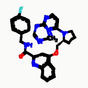 C/N=C\N=c1\nccc(N2CCC[C@@H]2COc2cc(C(=O)NCc3ccc(F)cc3)nc3ccccc23)[nH]1